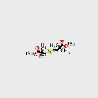 CCC(C)(CSSCCC(C)(C)C(=O)OC(C)(C)C)C(=O)OC(C)(C)C